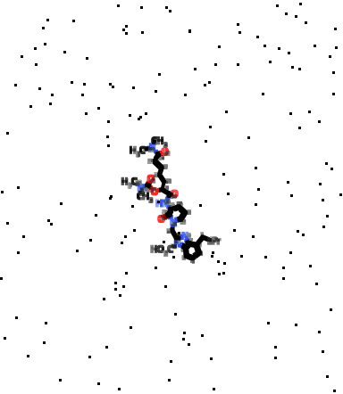 CC(C)Cc1cccc2c1nc(Cn1cccc(NC(=O)[C@H](CC/C=C/C(=O)N(C)C)OC(=O)N(C)C)c1=O)n2C(=O)O